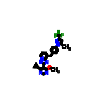 COc1ncnc(C2CC2)c1-c1nc2c(Cc3ccc(-n4nc(C(F)(F)F)cc4C)cc3)cccn2n1